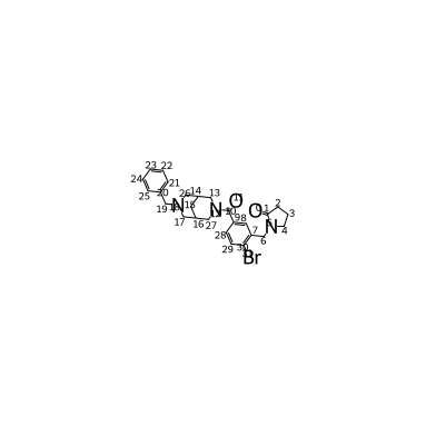 O=C1CCCN1Cc1cc(C(=O)N2CC3CC(CN(Cc4ccccc4)C3)C2)ccc1Br